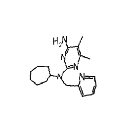 Cc1nc(N(Cc2ccccn2)C2CCCCCC2)nc(N)c1C